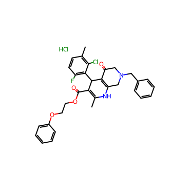 CC1=C(C(=O)OCCOc2ccccc2)C(c2c(F)ccc(C)c2Cl)C2=C(CN(Cc3ccccc3)CC2=O)N1.Cl